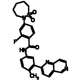 Cc1ccc(NC(=O)c2ccc(N3CCCCCS3(=O)=O)cc2F)cc1-c1ccc2cnccc2n1